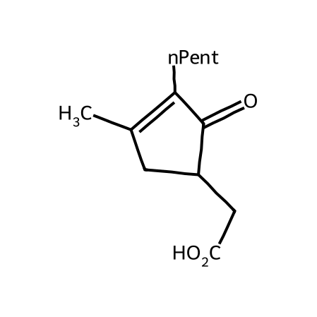 CCCCCC1=C(C)CC(CC(=O)O)C1=O